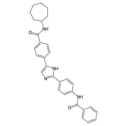 O=C(Nc1ccc(-c2ncc(-c3ccc(C(=O)NC4CCCCCC4)cc3)[nH]2)cc1)c1ccccc1